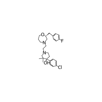 CC1(C)CN(CCN2CCCO[C@@H](Cc3ccc(F)cc3)C2)CC[C@]1(O)c1ccc(Cl)cc1